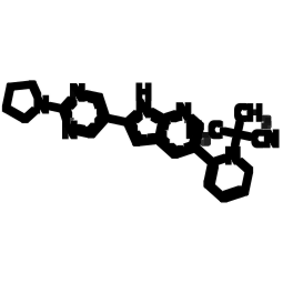 CC(C)(C#N)N1CC=CC=C1c1cnc2[nH]c(-c3cnc(N4CCCC4)nc3)cc2c1